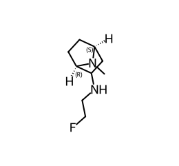 CN1[C@H]2CC[C@@H]1C(NCCF)C2